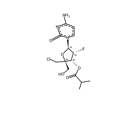 CC(C)C(=O)O[C@H]1[C@@H](F)[C@H](n2ccc(N)nc2=O)O[C@@]1(CO)CCl